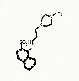 CN1CCN(CCCOc2c(S(=O)(=O)O)ccc3ccccc23)CC1